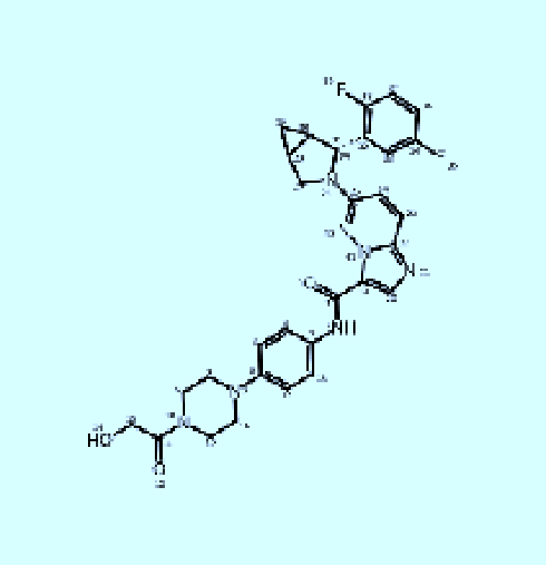 O=C(Nc1ccc(N2CCN(C(=O)CO)CC2)cc1)c1cnc2ccc(N3CC4CC4[C@@H]3c3cc(F)ccc3F)nn12